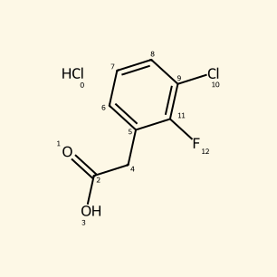 Cl.O=C(O)Cc1cccc(Cl)c1F